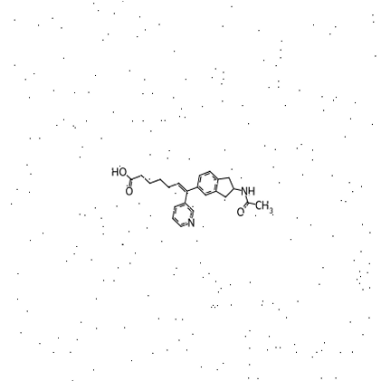 CC(=O)NC1Cc2ccc(C(=CCCCCC(=O)O)c3cccnc3)cc2C1